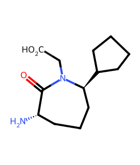 N[C@H]1CCC[C@H](C2CCCC2)N(CC(=O)O)C1=O